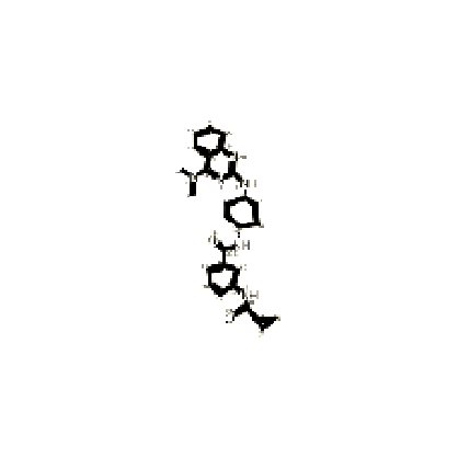 CN(C)c1nc(N[C@H]2CC[C@@H](NC(=O)c3cccc(NC(=O)C4CC4)c3)CC2)nc2ccccc12